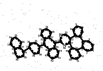 c1ccc2c(c1)-c1ccccc1-c1cnc(-c3c4ccccc4c(-c4ccc(-c5cccc6ccccc56)cc4)c4ccccc34)nc1-c1ccccc1-2